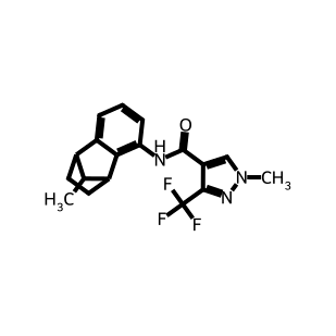 CC1C2CCC1c1c(NC(=O)c3cn(C)nc3C(F)(F)F)cccc12